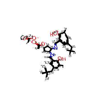 CC(=O)[O-].CC(=O)[O-].Cc1cc(CC(C)(C)C)cc(C=NC2CCCC2N=Cc2cc(CC(C)(C)C)cc(C)c2O)c1O.[Co+2]